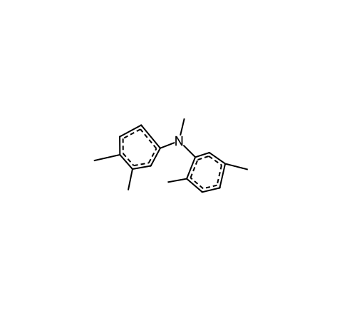 Cc1ccc(C)c(N(C)c2ccc(C)c(C)c2)c1